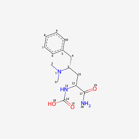 CN(C)[C@H](Cc1ccccc1)CC(NC(=O)O)C(N)=O